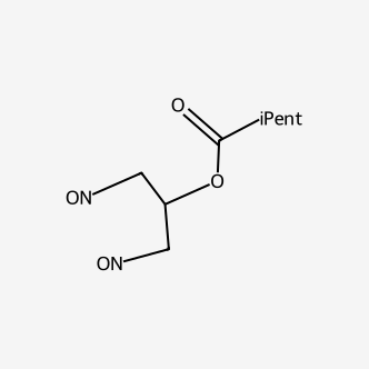 CCCC(C)C(=O)OC(CN=O)CN=O